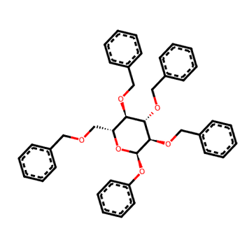 c1ccc(COC[C@H]2O[C@H](Oc3ccccc3)[C@H](OCc3ccccc3)[C@@H](OCc3ccccc3)[C@@H]2OCc2ccccc2)cc1